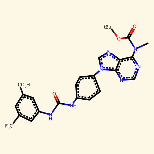 CN(C(=O)OC(C)(C)C)c1ncnc2c1ncn2-c1ccc(NC(=O)Nc2cc(C(=O)O)cc(C(F)(F)F)c2)cc1